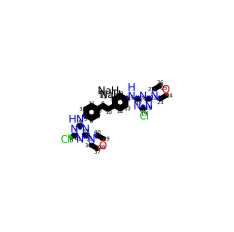 Clc1nc(Nc2ccc(C=Cc3ccc(Nc4nc(Cl)nc(N5CCOCC5)n4)cc3)cc2)nc(N2CCOCC2)n1.[NaH].[NaH]